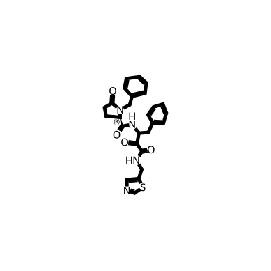 O=C(NCc1cncs1)C(=O)C(Cc1ccccc1)NC(=O)[C@H]1CCC(=O)N1Cc1ccccc1